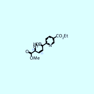 C=C(/C=C\C(=N/C)C(=O)OC)c1ccc(C(=O)OCC)cn1